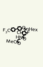 CCCCCCC(Oc1ccc(-c2ccc(C(F)(F)F)cc2)c(C)c1)c1ccc(C(=O)NCCC(=O)OC)cc1F